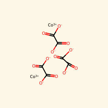 O=C([O-])C(=O)[O-].O=C([O-])C(=O)[O-].O=C([O-])C(=O)[O-].[Co+3].[Co+3]